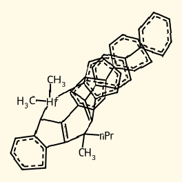 CCCC1(C)C2=C(c3ccc(-c4ccccc4)cc3)[CH](c3ccccc32)[Hf]([CH3])([CH3])[CH]2C(c3ccc(-c4ccccc4)cc3)=C1c1ccccc12